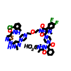 Cc1nc(Nc2ncc(C(=O)Nc3c(C)cccc3Cl)s2)cc(N2CCN(CCOCCNC(=O)c3c(C(=O)N4CCN(C(=O)C(NC(=O)C(C)N(C)C(=O)O)C5CCCCC5)CC4)n(C)c4cc(F)c(F)cc34)CC2)n1